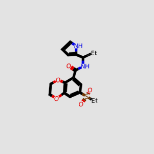 CCC(NC(=O)c1cc(S(=O)(=O)CC)cc2c1OCCO2)c1ccc[nH]1